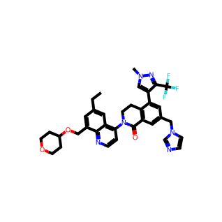 CCc1cc(COC2CCOCC2)c2nccc(N3CCc4c(cc(Cn5ccnc5)cc4-c4cn(C)nc4C(F)(F)F)C3=O)c2c1